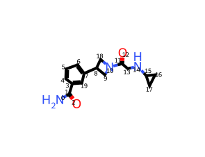 NC(=O)c1cccc(C2CN(C(=O)CNC3CC3)C2)c1